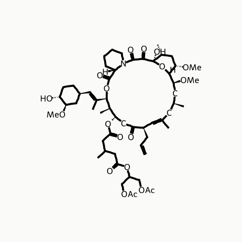 C=CC[C@@H]1/C=C(\C)C[C@H](C)C[C@H](OC)[C@H]2O[C@@](O)(C(=O)C(=O)N3CCCC[C@H]3C(=O)O[C@H](/C(C)=C/[C@@H]3CC[C@@H](O)[C@H](OC)C3)[C@H](C)[C@@H](OC(=O)CC(C)CC(=O)OC(COC(C)=O)COC(C)=O)CC1=O)[C@H](C)C[C@@H]2OC